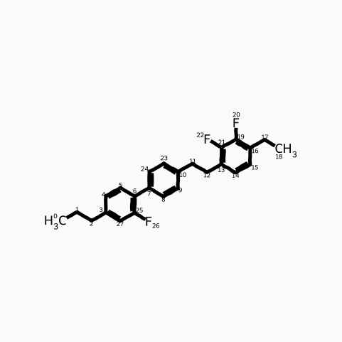 CCCc1ccc(-c2ccc(CCc3ccc(CC)c(F)c3F)cc2)c(F)c1